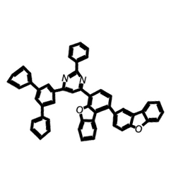 c1ccc(-c2cc(-c3ccccc3)cc(-c3cc(-c4ccc(-c5ccc6oc7ccccc7c6c5)c5c4oc4ccccc45)nc(-c4ccccc4)n3)c2)cc1